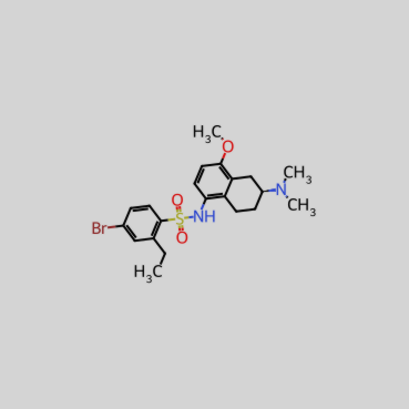 CCc1cc(Br)ccc1S(=O)(=O)Nc1ccc(OC)c2c1CC[C@H](N(C)C)C2